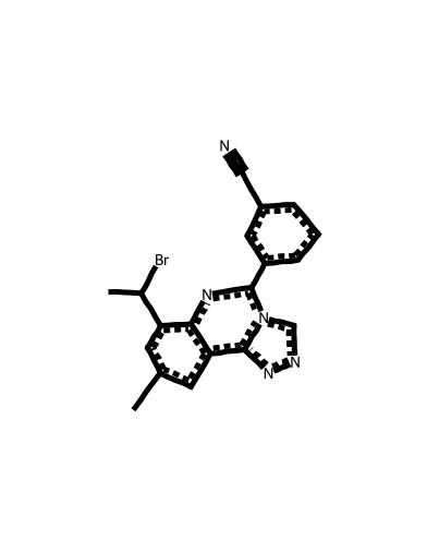 Cc1cc(C(C)Br)c2nc(-c3cccc(C#N)c3)n3cnnc3c2c1